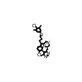 Cc1cc(OCCCc2c3n(c4c(-c5c(C)ncnc5C)c(Cl)ccc24)[C@H](C)CN=C3)cc(C)c1Cl